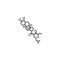 CCNC(=O)N(CCCN(C)C)C(=O)C1CC[C@H]2[C@@H]3CCC4NC(=O)CC[C@]4(C)[C@@H]3CC[C@]12C